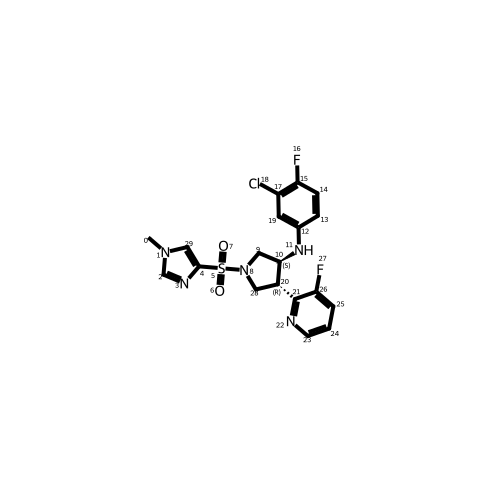 Cn1cnc(S(=O)(=O)N2C[C@@H](Nc3ccc(F)c(Cl)c3)[C@H](c3ncccc3F)C2)c1